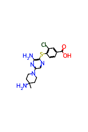 CC1(N)CCN(c2cnc(Sc3ccc(C(=O)O)cc3Cl)c(N)n2)CC1